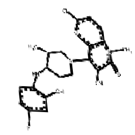 C[C@H]1CN(c2c(C#N)c(=O)n(C)c3ccc(Cl)nc23)CC[C@H]1Nc1ccc(F)cc1O